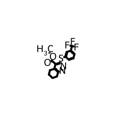 CCOC(=O)c1c(Sc2cccc(C(F)(F)F)c2)nnc2c1CCCC2